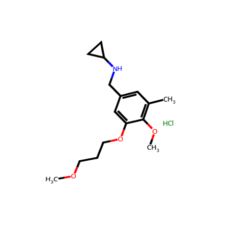 COCCCOc1cc(CNC2CC2)cc(C)c1OC.Cl